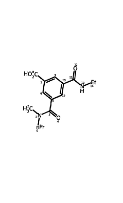 CCCN(C)C(=O)c1cc(C(=O)O)cc(C(=O)NCC)c1